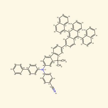 CC1(C)c2cc(-c3ccc4c(-c5cccc6ccccc56)c5ccccc5c(-c5cccc6ccccc56)c4c3)ccc2-c2ccc(N(c3ccc(C#N)cc3)c3ccc(-c4ccccc4)cc3)cc21